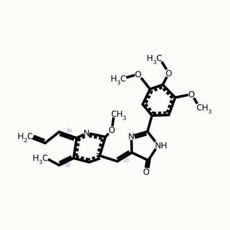 C=C/C=c1/nc(OC)c(/C=C2\N=C(c3cc(OC)c(OC)c(OC)c3)NC2=O)c/c1=C/C